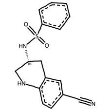 N#Cc1ccc2c(c1)C[C@@H](NS(=O)(=O)c1ccccc1)CN2